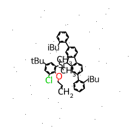 C=CCOc1c(Cl)cc(C(C)(C)C)cc1[Si](C)(C)C1c2cc(-c3ccccc3C(C)CC)ccc2-c2ccc(-c3ccccc3C(C)CC)cc21